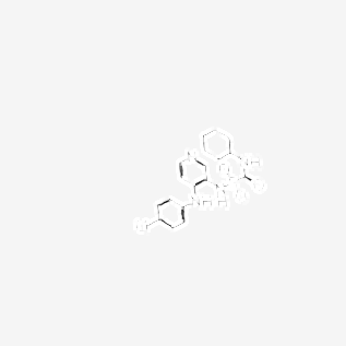 O=C(NC1CCCCC1)S(=O)(=O)Nc1cnccc1Nc1ccc(Cl)cc1